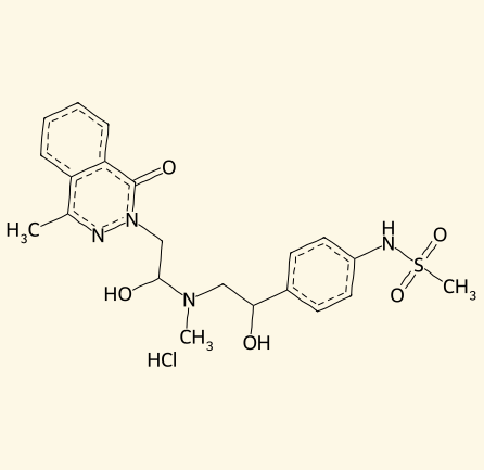 Cc1nn(CC(O)N(C)CC(O)c2ccc(NS(C)(=O)=O)cc2)c(=O)c2ccccc12.Cl